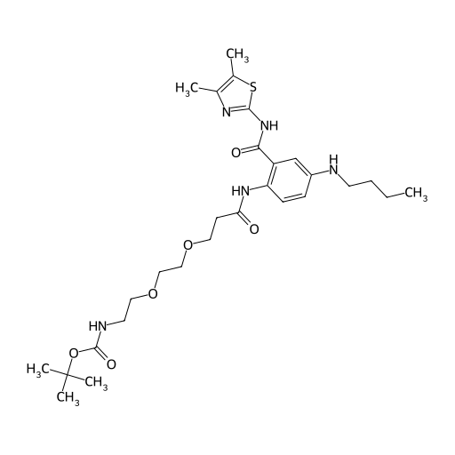 CCCCNc1ccc(NC(=O)CCOCCOCCNC(=O)OC(C)(C)C)c(C(=O)Nc2nc(C)c(C)s2)c1